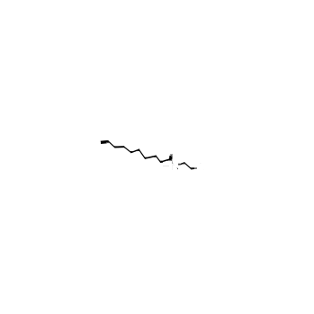 C=CCCCCCCCC(=O)NCCO